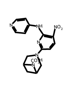 O=C(O)N1C2CC1CN(c1ccc([N+](=O)[O-])c(Nc3ccncc3)n1)C2